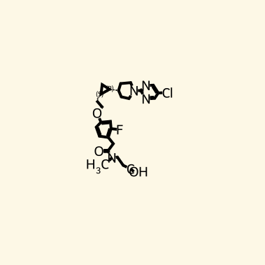 CN(CCCO)C(=O)Cc1ccc(OCC[C@@H]2C[C@@H]2C2CCN(c3ncc(Cl)cn3)CC2)cc1F